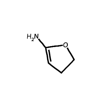 NC1=CCCO1